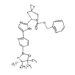 CC1(C)OB(c2ccc(-c3cnc(C4CC5(CC5)CN4C(=O)OCc4ccccc4)[nH]3)cc2)OC1(C)C